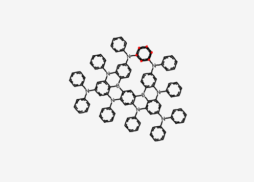 c1ccc(N(c2ccccc2)c2ccc3c(c2)N(c2ccccc2)c2cc(N(c4ccccc4)c4ccccc4)cc4c2B3c2cc3c(cc2N4c2ccccc2)N(c2ccccc2)c2cc(N(c4ccccc4)c4ccccc4)cc4c2B3c2ccc(N(c3ccccc3)c3ccccc3)cc2N4c2ccccc2)cc1